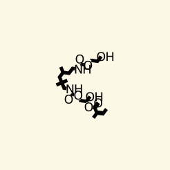 CC=C(C)C(=O)OC(O)COC(=O)NCC(C)(C)CC(C)CCNC(=O)OCCO